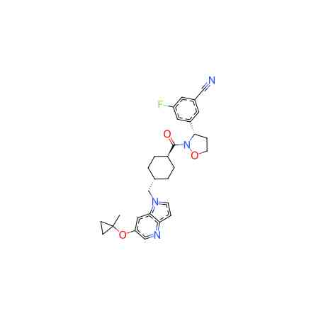 CC1(Oc2cnc3ccn(C[C@H]4CC[C@H](C(=O)N5OCC[C@H]5c5cc(F)cc(C#N)c5)CC4)c3c2)CC1